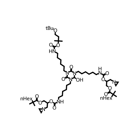 CCCCCCC(C)(C)C(=O)OCC(CN1CC1)OC(=O)NCCCCCCN1C(=O)N(CCCCCCNC(=O)OC(C)(C)CCOC(C)(C)C)C(=O)N(CCCCCCNC(=O)OC(COC(=O)C(C)(C)CCCCCC)CN2CC2)C1O